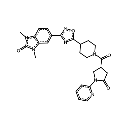 Cn1c(=O)n(C)c2cc(-c3noc(C4CCN(C(=O)[C@H]5CC(=O)N(c6ccccn6)C5)CC4)n3)ccc21